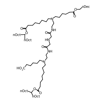 CCCCCCCCCCCOC(=O)CCCCCN(CCCCCCCC(=O)OC(CCCCCCCC)CCCCCCCC)CCNC(=O)CNCC(=O)NCCN(CCCCCCCC(=O)OC(CCCCCCCC)CCCCCCCC)CCCCCC(=O)O